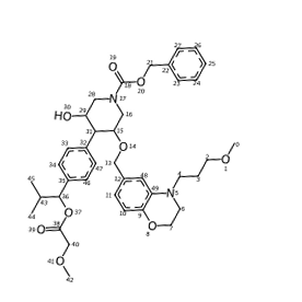 COCCCN1CCOc2ccc(COC3CN(C(=O)OCc4ccccc4)CC(O)C3c3ccc(C(OC(=O)COC)C(C)C)cc3)cc21